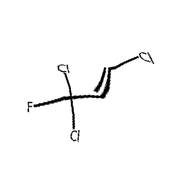 FC(Cl)(Cl)C=CCl